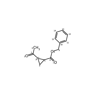 CC(=O)N1CC1C(=O)OCc1ccccc1